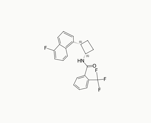 O=C(N[C@H]1CC[C@H]1c1cccc2c(F)cccc12)c1ccccc1C(F)(F)F